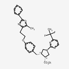 CCOC(=O)[C@H]1CN(c2nccc(C(C)(F)F)n2)C[C@H]1Cc1ccc(OCCc2nc(-c3ccccc3)oc2C)cc1